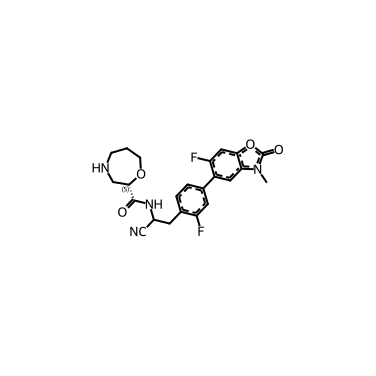 Cn1c(=O)oc2cc(F)c(-c3ccc(CC(C#N)NC(=O)[C@@H]4CNCCCO4)c(F)c3)cc21